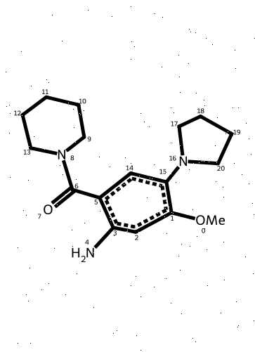 COc1cc(N)c(C(=O)N2CCCCC2)cc1N1CCCC1